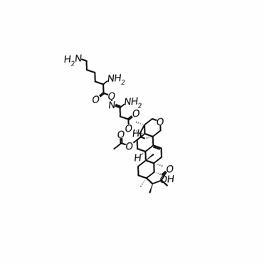 CC(=O)O[C@@H]1C[C@@]23COC[C@@](C)([C@@H]2CC[C@H]2C3=CC[C@@]3(C)[C@H](C(=O)O)[C@@](C)([C@H](C)C(C)C)CC[C@]23C)[C@H]1OC(=O)C/C(N)=N/OC(=O)C(N)CCCCN